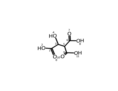 O=C(O)C(O)C(C(=O)O)C(=O)O